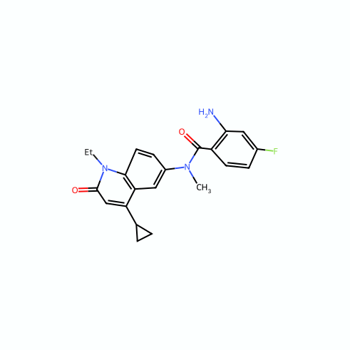 CCn1c(=O)cc(C2CC2)c2cc(N(C)C(=O)c3ccc(F)cc3N)ccc21